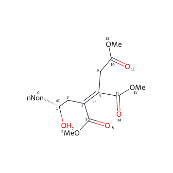 CCCCCCCCC[C@@H](O)C/C(C(=O)OC)=C(\CC(=O)OC)C(=O)OC